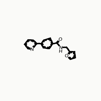 O=C(NCc1ccco1)c1ccc(-c2ccccn2)cc1